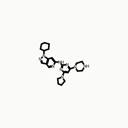 c1c(N2CCCC2)nc(Nc2cc3c(cn2)cnn3C2CCCCC2)nc1N1CCNCC1